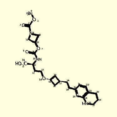 CC(C)(C)OC(=O)N1CC(OC(=O)N[C@@H](CCO[C@H]2C[C@H](CCc3ccc4c(n3)NCCC4)C2)C(=O)O)C1